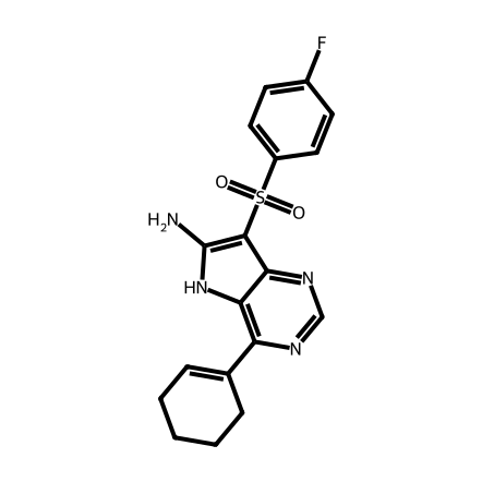 Nc1[nH]c2c(C3=CCCCC3)ncnc2c1S(=O)(=O)c1ccc(F)cc1